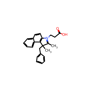 CC1=[N+](CCC(=O)O)c2ccc3ccccc3c2C1(C)Cc1ccccc1